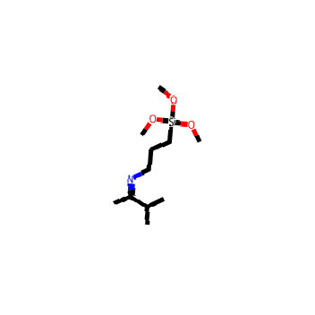 CO[Si](CCCN=C(C)C(C)C)(OC)OC